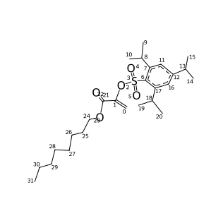 C=C(OS(=O)(=O)c1c(C(C)C)cc(C(C)C)cc1C(C)C)C(=O)OCCCCCCCC